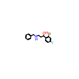 OC(CCNCc1ccccc1)c1ccc(F)cc1Br